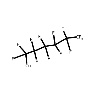 FC(F)(F)C(F)(F)C(F)(F)C(F)(F)C(F)(F)[C](F)(F)[Cu]